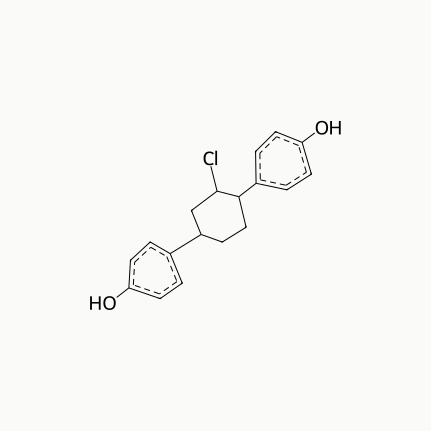 Oc1ccc(C2CCC(c3ccc(O)cc3)C(Cl)C2)cc1